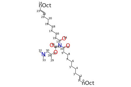 CCCCCCCCC=CCCCCCCCC(=O)N(C(=O)CCCCCCCC=CCCCCCCCC)C(=O)OC(C)CN(C)C